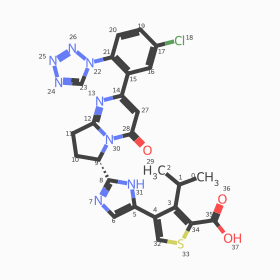 CC(C)c1c(-c2cnc([C@@H]3CCc4nc(-c5cc(Cl)ccc5-n5cnnn5)cc(=O)n43)[nH]2)csc1C(=O)O